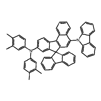 Cc1ccc(N(c2ccc(C)c(C)c2)c2ccc3c(c2)C2(c4ccccc4-c4ccccc42)c2cc(-n4c5ccccc5c5ccccc54)c4ccccc4c2-3)cc1C